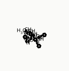 CC1Cn2c(c(C(=O)NCc3ccccc3-c3ccncn3)n(-c3ccc(OCc4ccccc4)c(NC(=O)OCc4ccccc4)c3)c2=O)CN1C(=O)OC(C)(C)C